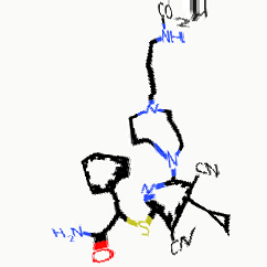 N#Cc1c(SC(C(N)=O)c2ccccc2)nc(N2CCN(CCCNC(=O)O)CC2)c(C#N)c1C1CC1